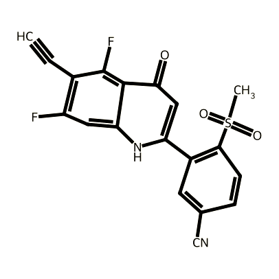 C#Cc1c(F)cc2[nH]c(-c3cc(C#N)ccc3S(C)(=O)=O)cc(=O)c2c1F